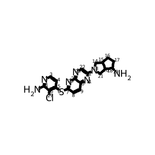 Nc1nccc(Sc2ccc3nc(N4CC5CCC(N)C5C4)cnc3n2)c1Cl